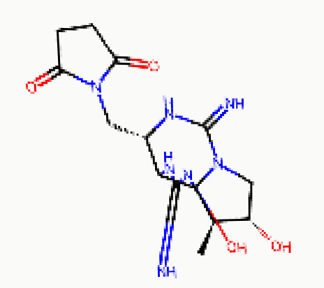 C[C@@H]1[C@@H](O)CN2C(=N)N[C@@H](CN3C(=O)CCC3=O)C3NC(=N)N(O)C312